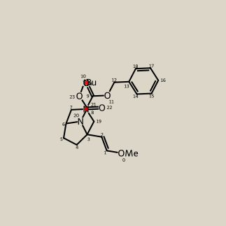 CO/C=C/C12CCC(CN(C(=O)OCc3ccccc3)C1)N2C(=O)OC(C)(C)C